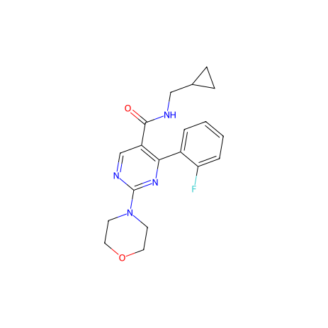 O=C(NCC1CC1)c1cnc(N2CCOCC2)nc1-c1ccccc1F